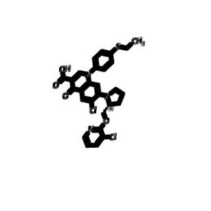 CCSc1ccc(-n2cc(C(=O)O)c(=O)c3cc(Cl)c(N4CCC[C@@H]4COc4ncccc4Cl)cc32)cc1